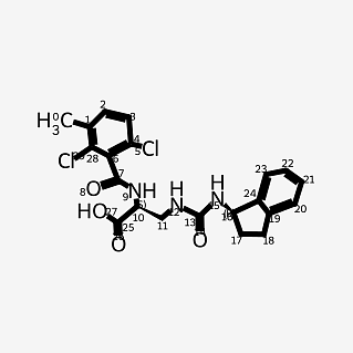 Cc1ccc(Cl)c(C(=O)N[C@@H](CNC(=O)N[C@@H]2CCc3ccccc32)C(=O)O)c1Cl